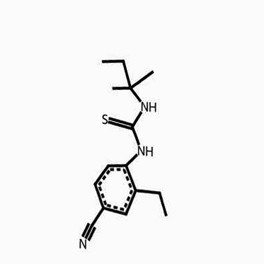 CCc1cc(C#N)ccc1NC(=S)NC(C)(C)CC